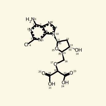 Nc1nc(Cl)nc2c1ncn2[C@H]1C[C@H](O)[C@@H](COC(C(=O)O)C(=O)O)O1